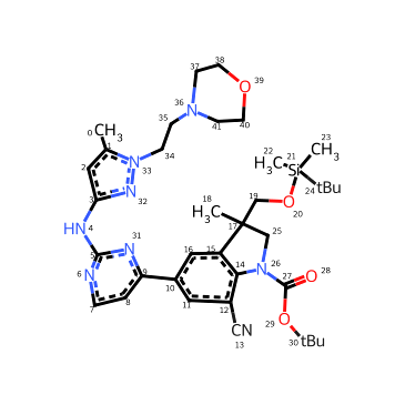 Cc1cc(Nc2nccc(-c3cc(C#N)c4c(c3)C(C)(CO[Si](C)(C)C(C)(C)C)CN4C(=O)OC(C)(C)C)n2)nn1CCN1CCOCC1